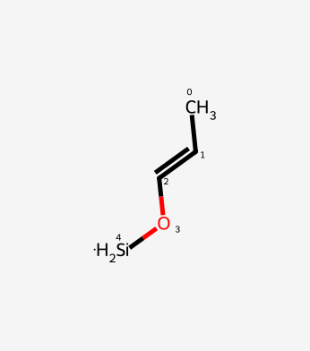 CC=CO[SiH2]